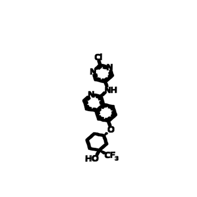 O[C@]1(C(F)(F)F)CCC[C@H](Oc2ccc3c(Nc4cnc(Cl)nc4)nccc3c2)C1